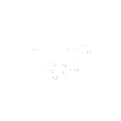 Nc1nc(OCCCO)nc2c1nc(O)n2Cc1cccc(P(=O)(O)O)c1